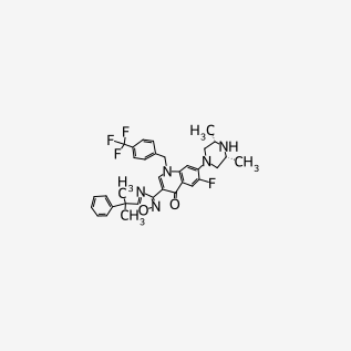 C[C@@H]1CN(c2cc3c(cc2F)c(=O)c(-c2noc(C(C)(C)c4ccccc4)n2)cn3Cc2ccc(C(F)(F)F)cc2)C[C@H](C)N1